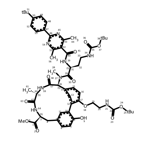 COC(=O)[C@@H]1Cc2ccc(O)c(c2)-c2cc(ccc2OCCNC(=O)OC(C)(C)C)[C@H](N(C)C(=O)[C@H](CCNC(=O)OC(C)(C)C)NC(=O)c2c(C)nc(-c3ccc(C(C)(C)C)cc3)nc2C)C(=O)N[C@@H](C)C(=O)N1